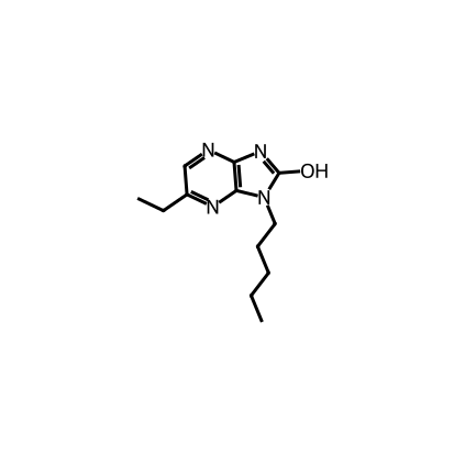 CCCCCn1c(O)nc2ncc(CC)nc21